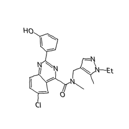 CCn1ncc(CN(C)C(=O)c2nc(-c3cccc(O)c3)nc3ccc(Cl)cc23)c1C